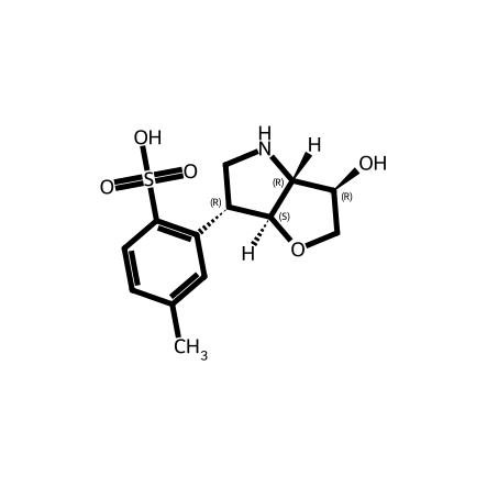 Cc1ccc(S(=O)(=O)O)c([C@@H]2CN[C@H]3[C@H]2OC[C@@H]3O)c1